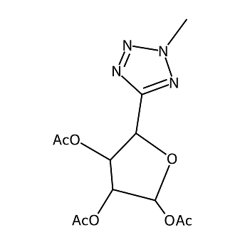 CC(=O)OC1OC(c2nnn(C)n2)C(OC(C)=O)C1OC(C)=O